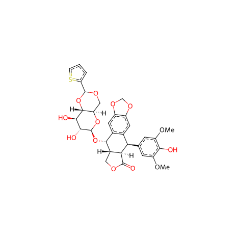 COc1cc([C@@H]2c3cc4c(cc3[C@@H](O[C@@H]3O[C@@H]5COC(c6cccs6)O[C@H]5[C@H](O)[C@H]3O)[C@H]3COC(=O)[C@H]23)OCO4)cc(OC)c1O